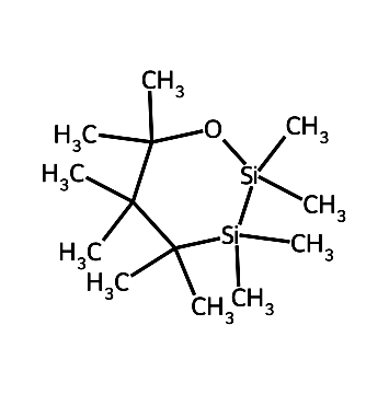 CC1(C)O[Si](C)(C)[Si](C)(C)C(C)(C)C1(C)C